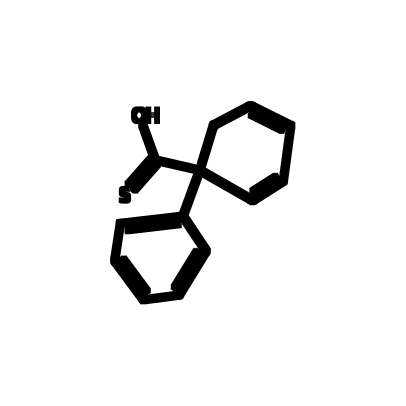 OC(=S)C1(c2ccccc2)C=CC=CC1